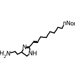 CCCCCCCCCCCCCCCC=CC1=NC(CCN)CN1